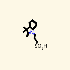 C=C1N(CCCS(=O)(=O)O)c2ccccc2C1(C)C